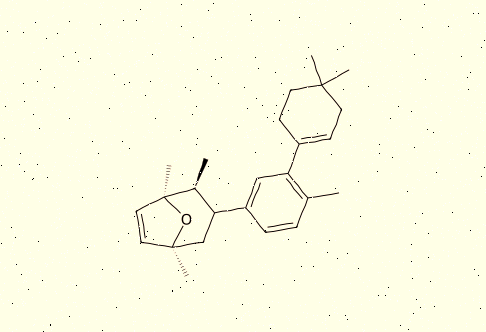 Cc1ccc(C2C[C@@]3(C)C=C[C@](C)(O3)[C@H]2C)cc1C1=CCC(C)(C)CC1